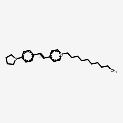 CCCCCCCCCC[n+]1ccc(/C=C/c2ccc(N3CCCC3)cc2)cc1